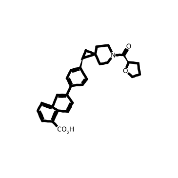 O=C(O)c1cccc2cc(-c3ccc([C@H]4CC45CCN(C(=O)[C@H]4CCCO4)CC5)cc3)ccc12